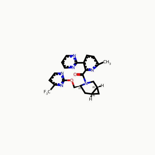 Cc1ccc(-c2ncccn2)c(C(=O)N2C[C@@H]3C[C@@H]3C[C@H]2COc2nccc(C(F)(F)F)n2)n1